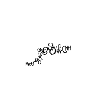 COCCOC(=O)C(C)(C)COS(=O)(=O)ON1C(=O)N2CC1CC[C@H]2C(=O)NC1CCNCC1